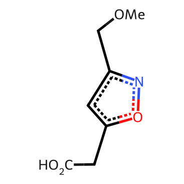 COCc1cc(CC(=O)O)on1